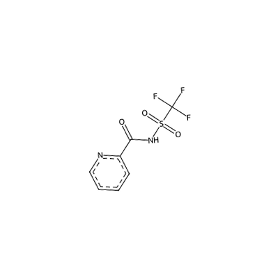 O=C(NS(=O)(=O)C(F)(F)F)c1ccccn1